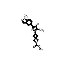 Cc1c(Br)c(-c2ccc3c(cnn3C)c2)nn1C1CC2(C1)CN(C(=O)OC(C)(C)C)C2